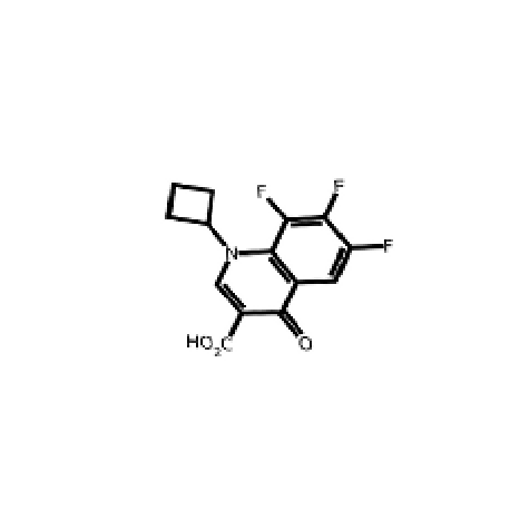 O=C(O)c1cn(C2CCC2)c2c(F)c(F)c(F)cc2c1=O